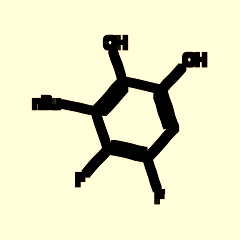 CCCCc1c(O)c(O)cc(F)c1F